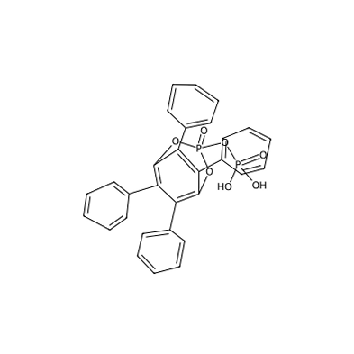 O=P(O)(O)OP1(=O)Oc2c(-c3ccccc3)c(-c3ccccc3)c(c(-c3ccccc3)c2-c2ccccc2)O1